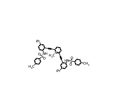 Cc1ccc(S(=O)(=O)Nc2ccc(C(C)C)cc2C#Cc2cccc(C#Cc3cc(C(C)C)ccc3NS(=O)(=O)c3ccc(C)cc3)[n+]2C)cc1